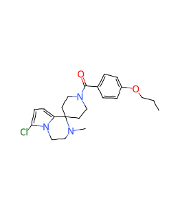 CCCOc1ccc(C(=O)N2CCC3(CC2)c2ccc(Cl)n2CCN3C)cc1